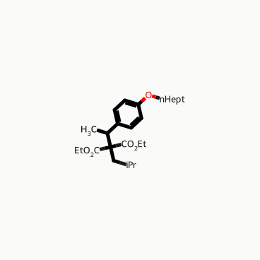 CCCCCCCOc1ccc(C(C)C(CC(C)C)(C(=O)OCC)C(=O)OCC)cc1